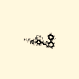 COc1cc(C=Cc2nc3n(n2)CCCC3c2ccccc2)ccc1-n1cnc(C)c1